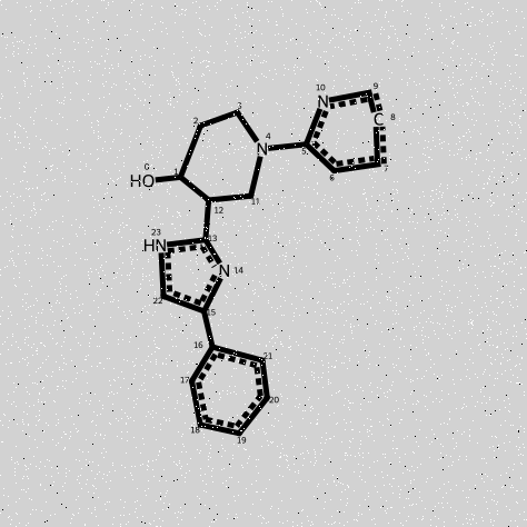 OC1CCN(c2ccccn2)CC1c1nc(-c2ccccc2)c[nH]1